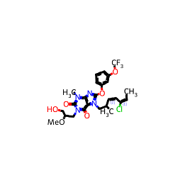 C/C=C(Cl)\C=C/C(C)Cn1c(Oc2cccc(OC(F)(F)F)c2)nc2c1c(=O)n(CC(CO)OC)c(=O)n2C